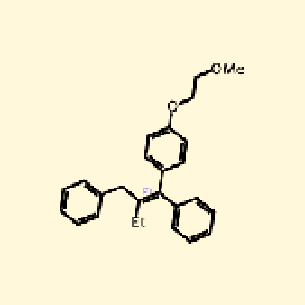 CC/C(Cc1ccccc1)=C(\c1ccccc1)c1ccc(OCCOC)cc1